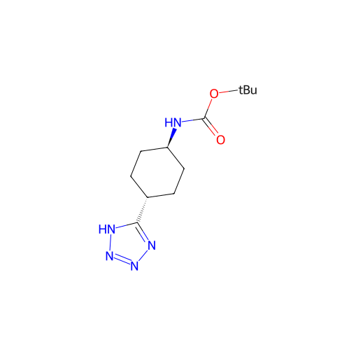 CC(C)(C)OC(=O)N[C@H]1CC[C@H](c2nnn[nH]2)CC1